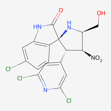 O=C1Nc2cc(Cl)ccc2[C@]12N[C@@H](CO)[C@@H]([N+](=O)[O-])[C@@H]2c1cc(Cl)nc(Cl)c1